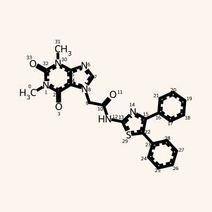 Cn1c(=O)c2c(ncn2CC(=O)Nc2nc(-c3ccccc3)c(-c3ccccc3)s2)n(C)c1=O